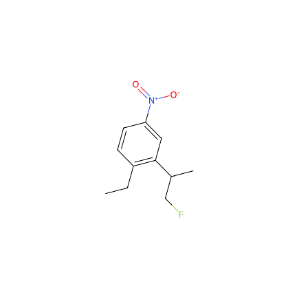 CCc1ccc([N+](=O)[O-])cc1[C](C)CF